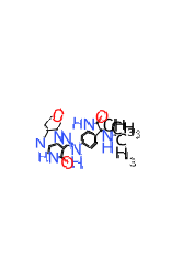 CC(C)NC1(C)C(=O)Nc2cc(Nc3nn([C@H]4COCCC4C#N)c4cc[nH]c(=O)c34)ccc21